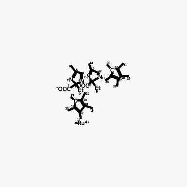 CCC1(C(=O)[O-])N=CC(C)=N1.CCC1(C(=O)[O-])N=CC(C)=N1.Cc1c(C)c(C)[c-](C)c1C.Cc1c(C)c(C)[c-](C)c1C.[Ru+4]